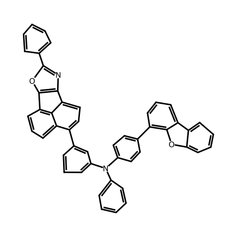 c1ccc(-c2nc3c(o2)-c2cccc4c(-c5cccc(N(c6ccccc6)c6ccc(-c7cccc8c7oc7ccccc78)cc6)c5)ccc-3c24)cc1